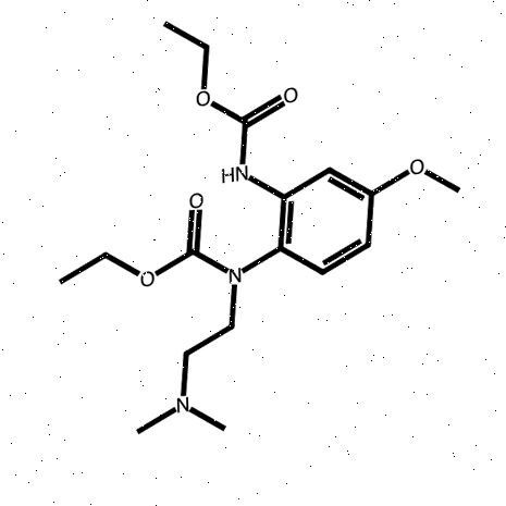 CCOC(=O)Nc1cc(OC)ccc1N(CCN(C)C)C(=O)OCC